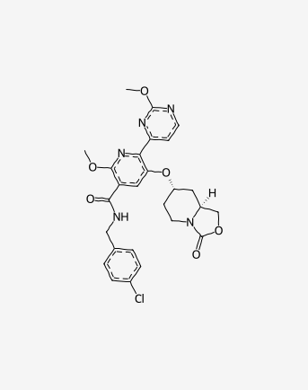 COc1nccc(-c2nc(OC)c(C(=O)NCc3ccc(Cl)cc3)cc2O[C@H]2CCN3C(=O)OC[C@@H]3C2)n1